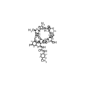 Cc1ccc(NC(=O)N[C@@H](Cc2cc(F)cc(F)c2)C(=O)N[C@@H]2C(=O)N3C[C@@H](O)C[C@H]3C(=O)N3CCCC[C@H]3C(=O)N[C@@H](C)C(=O)N3C[C@H](C)C[C@H]3C(=O)O[C@H]2C)cc1